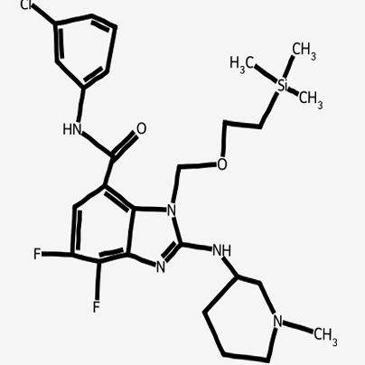 CN1CCCC(Nc2nc3c(F)c(F)cc(C(=O)Nc4cccc(Cl)c4)c3n2COCC[Si](C)(C)C)C1